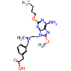 CCCCOc1nc(N)c2nc(OC)n(CCN(C)Cc3cccc(CC(=O)O)c3)c2n1